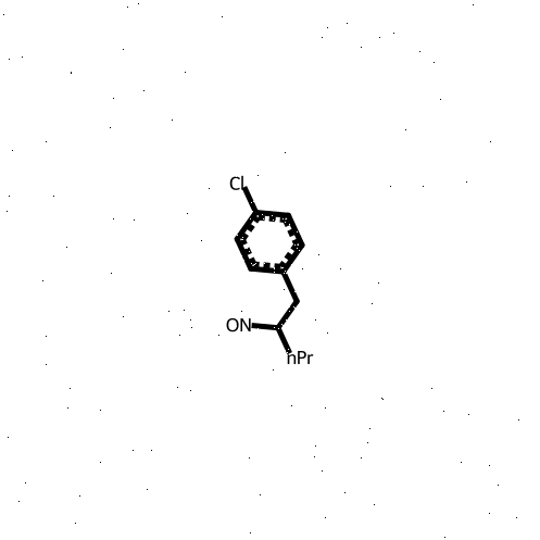 CCCC(Cc1ccc(Cl)cc1)N=O